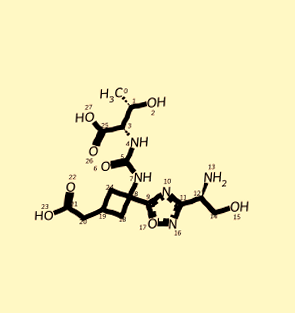 C[C@H](O)[C@H](NC(=O)NC1(c2nc([C@@H](N)CO)no2)CC(CC(=O)O)C1)C(=O)O